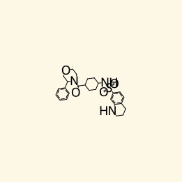 O=C(C1CCC(NS(=O)(=O)c2ccc3c(c2)NCCC3)CC1)N1CCOCC1c1ccccc1